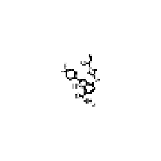 C=CC(=O)N1CC(N(C)c2ccc(C(N)=O)c3[nH]c(C4=CCC(F)(F)CC4)cc23)C1